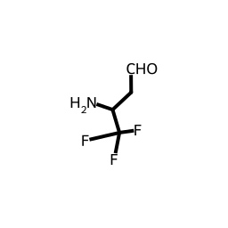 NC(CC=O)C(F)(F)F